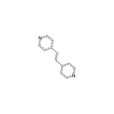 [C](=Cc1ccncc1)c1ccncc1